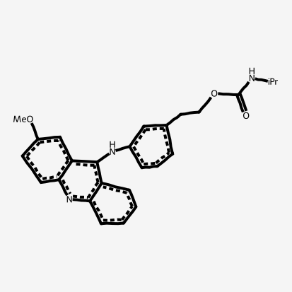 COc1ccc2nc3ccccc3c(Nc3cccc(CCOC(=O)NC(C)C)c3)c2c1